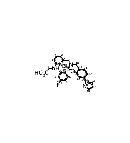 O=C(O)CNc1cccc(CN(Cc2ccc(-n3cccn3)cc2)S(=O)(=O)c2ccc(F)cc2)n1